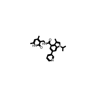 Cc1cc(C)c(CNC(=O)c2cc(-c3cccnc3)cc3c2c(C)cn3C(C)C)c(=O)[nH]1